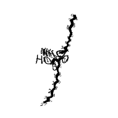 CCCCCCCCCCCCOC(=O)C(CCCCCCCCCCCC)CC(=O)O.N.N